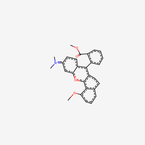 COC(=O)c1ccccc1-c1c2ccc(=[N+](C)C)cc-2oc2c1ccc1cccc(OC)c12